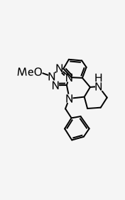 COn1nnc(N(Cc2ccccc2)C2CCCNC2c2ccccc2)n1